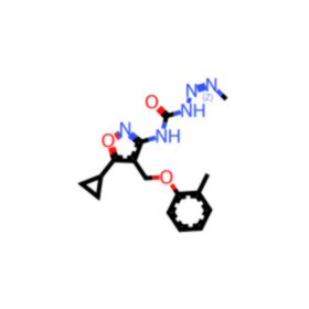 C/N=N\NC(=O)Nc1noc(C2CC2)c1COc1ccccc1C